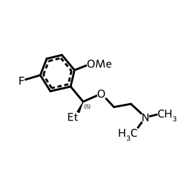 CC[C@H](OCCN(C)C)c1cc(F)ccc1OC